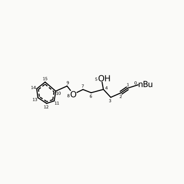 CCCCC#CCC(O)CCOCc1ccccc1